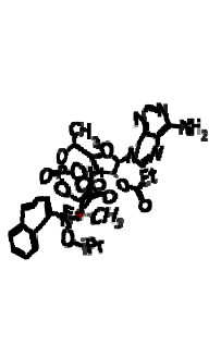 CCC(=O)O[C@H]1[C@@H](OC(=O)CC)[C@H](n2cnc3c(N)ncnc32)O[C@@H]1[C@H](C)OP(=O)(O)OC(=O)[C@H](C)N(OC(C)C)c1cccc2ccccc12